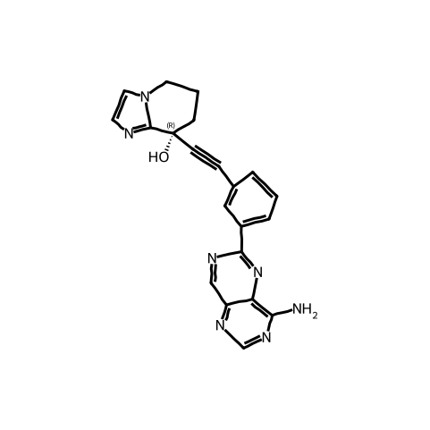 Nc1ncnc2cnc(-c3cccc(C#C[C@]4(O)CCCn5ccnc54)c3)nc12